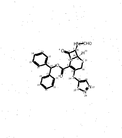 O=CN[C@@H]1C(=O)N2C(C(=O)OC(c3ccccc3)c3ccccc3)=C(Sc3cnns3)CS[C@H]12